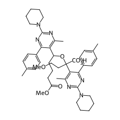 COCCC(OC(CCCC(=O)OC)c1c(C)nc(N2CCCCC2)nc1-c1ccc(C)cc1)(C(=O)O)c1c(C)nc(N2CCCCC2)nc1-c1ccc(C)cc1